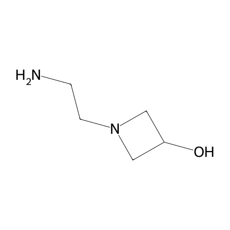 NCCN1CC(O)C1